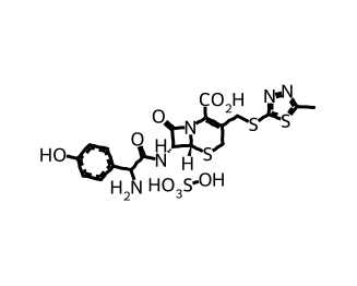 Cc1nnc(SCC2=C(C(=O)O)N3C(=O)[C@@H](NC(=O)C(N)c4ccc(O)cc4)[C@H]3SC2)s1.O=S(=O)(O)O